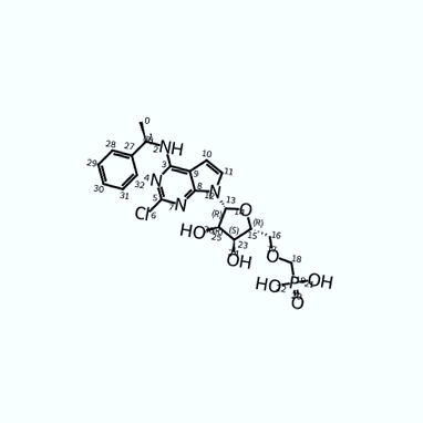 C[C@@H](Nc1nc(Cl)nc2c1ccn2[C@@H]1O[C@H](COCP(=O)(O)O)[C@@H](O)[C@H]1O)c1ccccc1